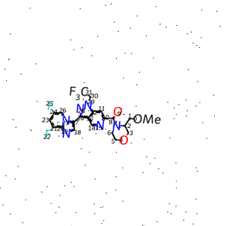 COCC1COCCN1C(=O)c1cc2c(cn1)c(-c1cnc3c(F)cc(F)cn13)nn2CC(F)(F)F